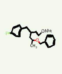 COCCC(Cc1ccc(F)cc1)CC(C)OCc1ccccc1